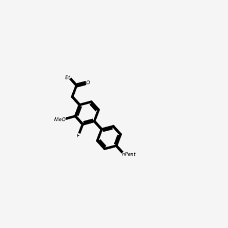 CCCCCc1ccc(-c2ccc(CC(=O)CC)c(OC)c2F)cc1